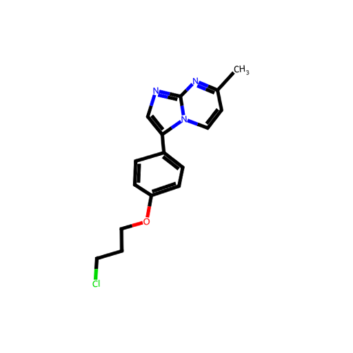 Cc1ccn2c(-c3ccc(OCCCCl)cc3)cnc2n1